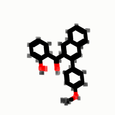 COc1ccc(-c2cc3ccccc3cc2C(=O)c2ccccc2O)cc1